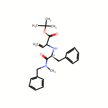 C=CC(N[C@@H](Cc1ccccc1)C(=O)N(C)Cc1ccccc1)C(=O)OC(C)(C)C